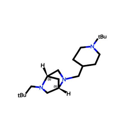 CC(C)(C)CN1C[C@@H]2C[C@H]1CN2CC1CCN(C(C)(C)C)CC1